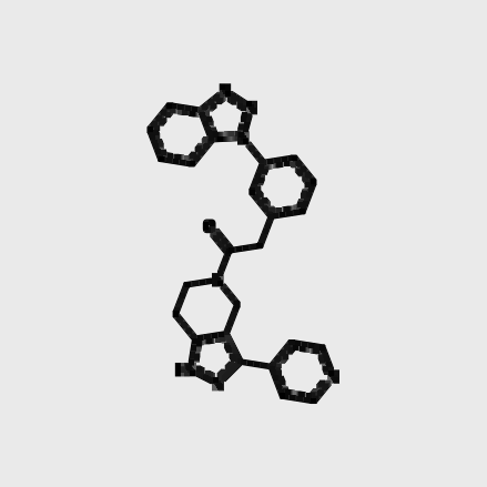 O=C(Cc1cccc(-n2nnc3ccccc32)c1)N1CCc2[nH]nc(-c3ccncc3)c2C1